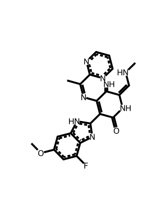 CN/C=C1/NC(=O)C(c2nc3c(F)cc(OC)cc3[nH]2)=C(/N=C(/C)c2ncccn2)C1=N